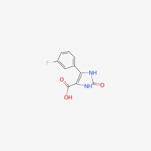 O=C(O)c1[nH]c(=O)[nH]c1-c1cccc(F)c1